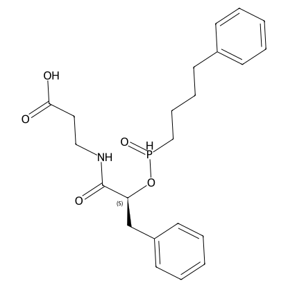 O=C(O)CCNC(=O)[C@H](Cc1ccccc1)O[PH](=O)CCCCc1ccccc1